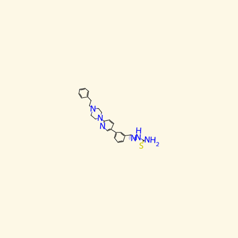 NC(=S)N/N=C/c1cccc(-c2ccc(N3CCN(CCc4ccccc4)CC3)nc2)c1